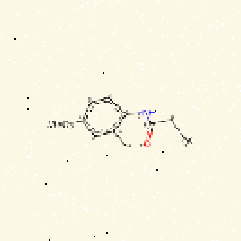 COc1ccc(NC(=O)CC(C)=O)c(C)c1